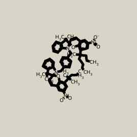 CCCCC(C)(CCC)c1cc([N+](=O)[O-])cc2c1OC1(C=C2)N(Cc2ccc(CN3c4ccccc4C(C)(C)C34C=Cc3cc([N+](=O)[O-])cc(C(C)(C)CCC)c3O4)cc2)c2ccccc2C1(C)C